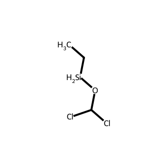 CC[SiH2]OC(Cl)Cl